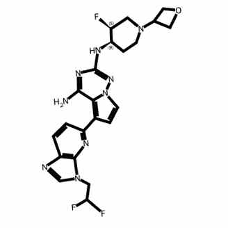 Nc1nc(N[C@@H]2CCN(C3COC3)C[C@@H]2F)nn2ccc(-c3ccc4ncn(CC(F)F)c4n3)c12